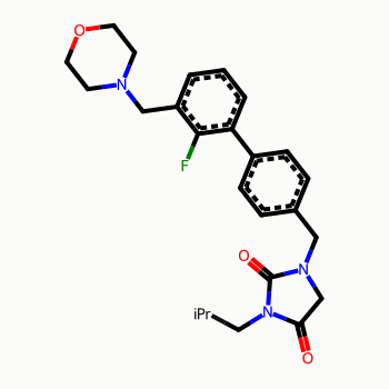 CC(C)CN1C(=O)CN(Cc2ccc(-c3cccc(CN4CCOCC4)c3F)cc2)C1=O